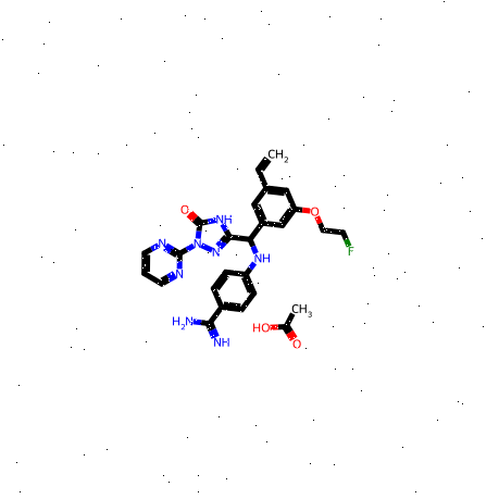 C=Cc1cc(OCCF)cc(C(Nc2ccc(C(=N)N)cc2)c2nn(-c3ncccn3)c(=O)[nH]2)c1.CC(=O)O